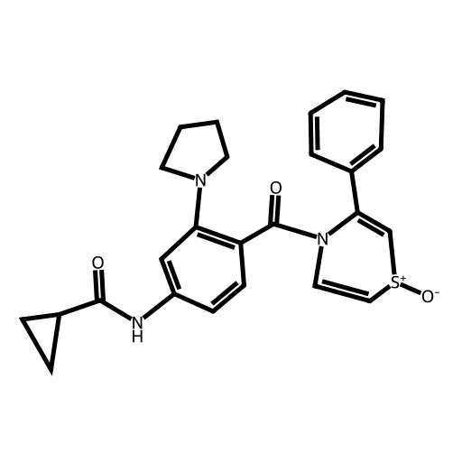 O=C(Nc1ccc(C(=O)N2C=C[S+]([O-])C=C2c2ccccc2)c(N2CCCC2)c1)C1CC1